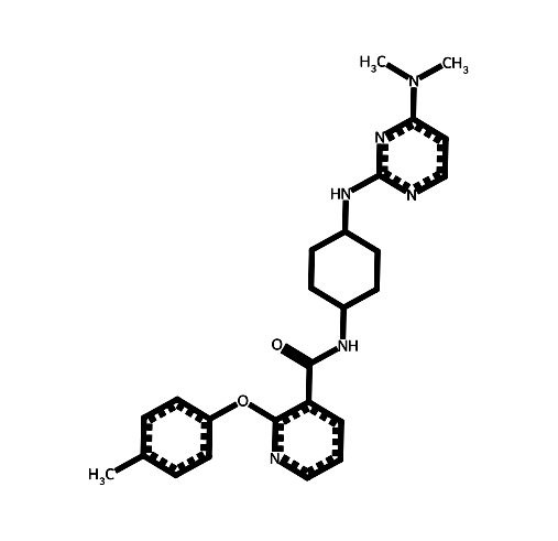 Cc1ccc(Oc2ncccc2C(=O)NC2CCC(Nc3nccc(N(C)C)n3)CC2)cc1